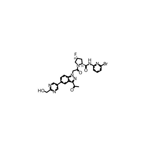 CC(=O)c1nn(CC(=O)N2C[C@H](F)C[C@H]2C(=O)Nc2cccc(Br)n2)c2ccc(-c3cnc(CO)nc3)cc12